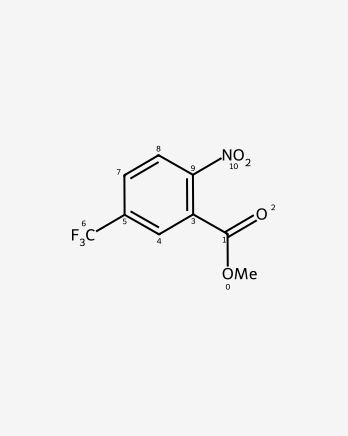 COC(=O)c1cc(C(F)(F)F)ccc1[N+](=O)[O-]